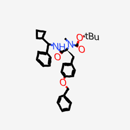 CN(C(=O)OC(C)(C)C)[C@@H](Cc1ccc(OCc2ccccc2)cc1)C(=O)NC(c1ccccc1)C1CCC1